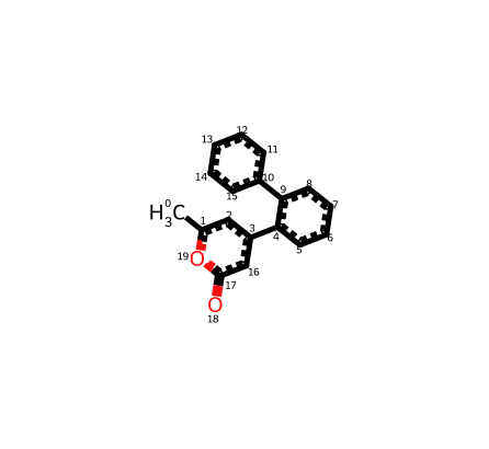 Cc1cc(-c2ccccc2-c2ccccc2)cc(=O)o1